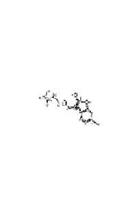 Cc1ccc2c(c1)oc(=O)n2COCC[Si](C)(C)C